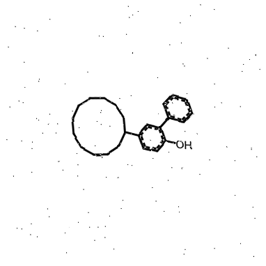 Oc1ccc(C2CCCCCCCCCCC2)cc1-c1ccccc1